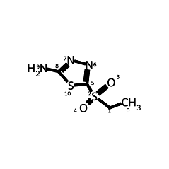 CCS(=O)(=O)c1nnc(N)s1